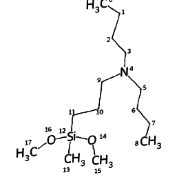 CCCCN(CCCC)CCC[Si](C)(OC)OC